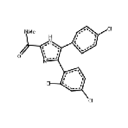 CNC(=O)c1nc(-c2ccc(Cl)cc2Cl)c(-c2ccc(Cl)cc2)[nH]1